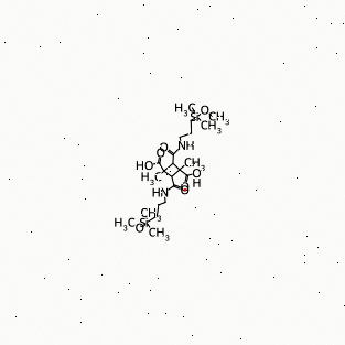 CO[Si](C)(C)CCCNC(=O)C1C(C)(C(=O)O)C(C(=O)NCCC[Si](C)(C)OC)C1(C)C(=O)O